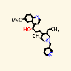 C=CC1CN(Cc2cccnc2)CCC1C[C@H](C)[C@H](O)c1ccnc2ccc(OC)cc12